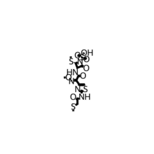 CON=C(C(=O)N[C@@H]1C(=O)N(S(=O)(=O)O)[C@H]1SC)c1csc(NC(=O)CSC)n1